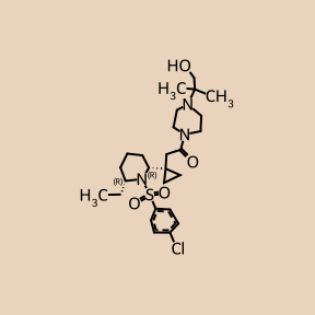 CC[C@@H]1CCC[C@H](C2(CC(=O)N3CCN(C(C)(C)CO)CC3)CC2)N1S(=O)(=O)c1ccc(Cl)cc1